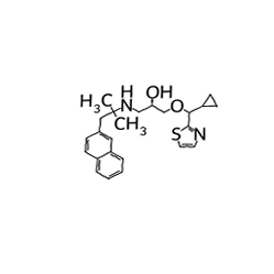 CC(C)(Cc1ccc2ccccc2c1)NC[C@@H](O)COC(c1nccs1)C1CC1